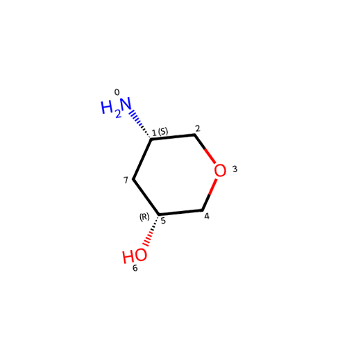 N[C@@H]1COC[C@H](O)C1